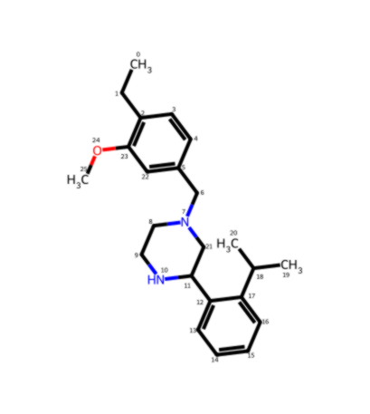 CCc1ccc(CN2CCNC(c3ccccc3C(C)C)C2)cc1OC